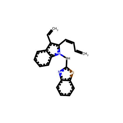 C=C/C=C\c1c(C=C)c2ccccc2n1Bc1nc2ccccc2s1